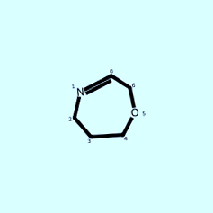 [C]1=NCCCOC1